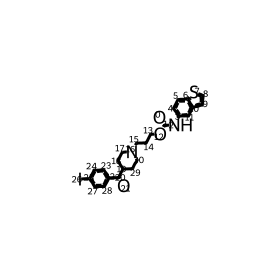 O=C(Nc1ccc2sccc2c1)OCCCN1CCC(C(=O)c2ccc(I)cc2)CC1